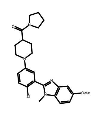 COc1ccc2c(c1)nc(-c1cc(N3CCC(C(=O)N4CCCC4)CC3)ccc1Cl)n2C